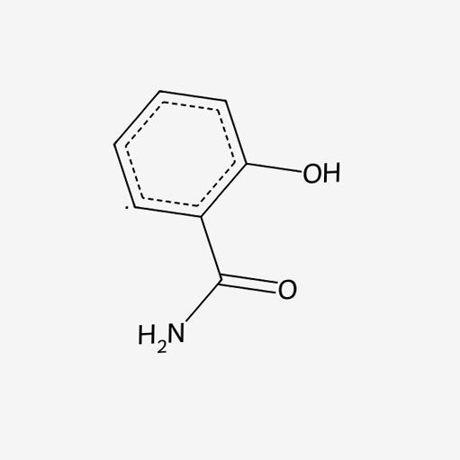 NC(=O)c1[c]cccc1O